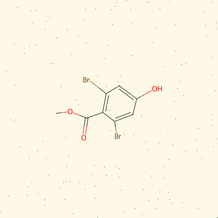 COC(=O)c1c(Br)cc(O)cc1Br